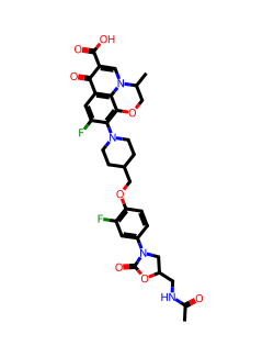 CC(=O)NCC1CN(c2ccc(OCC3CCN(c4c(F)cc5c(=O)c(C(=O)O)cn6c5c4OCC6C)CC3)c(F)c2)C(=O)O1